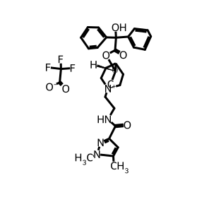 Cc1cc(C(=O)NCC[N+]23CCC(CC2)[C@@H](OC(=O)C(O)(c2ccccc2)c2ccccc2)C3)nn1C.O=C([O-])C(F)(F)F